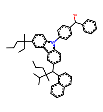 CCCC(C)(CC)c1ccc2c(c1)c1cc(C(c3cccc4ccccc34)C(C)(CCC)C(C)C)ccc1n2-c1ccc(C(O)c2ccccc2)cc1